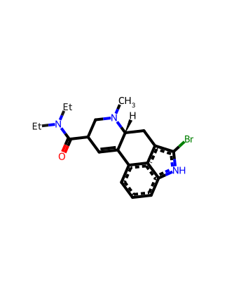 CCN(CC)C(=O)C1C=C2c3cccc4[nH]c(Br)c(c34)C[C@H]2N(C)C1